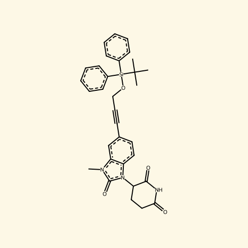 Cn1c(=O)n(C2CCC(=O)NC2=O)c2ccc(C#CCO[Si](c3ccccc3)(c3ccccc3)C(C)(C)C)cc21